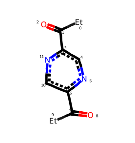 CCC(=O)c1cnc(C(=O)CC)cn1